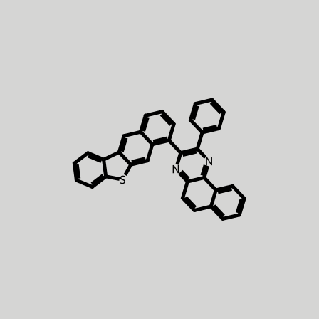 c1ccc(-c2nc3c(ccc4ccccc43)nc2-c2cccc3cc4c(cc23)sc2ccccc24)cc1